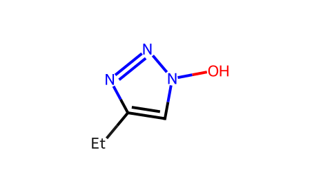 CCc1cn(O)nn1